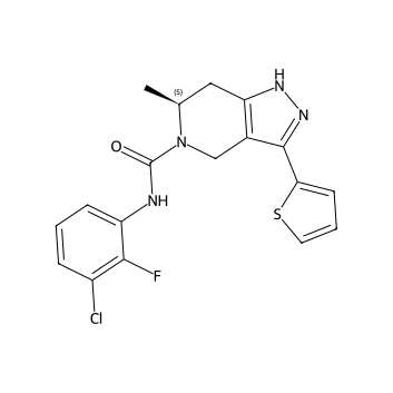 C[C@H]1Cc2[nH]nc(-c3cccs3)c2CN1C(=O)Nc1cccc(Cl)c1F